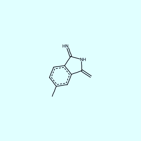 C=C1NC(=N)c2ccc(C)cc21